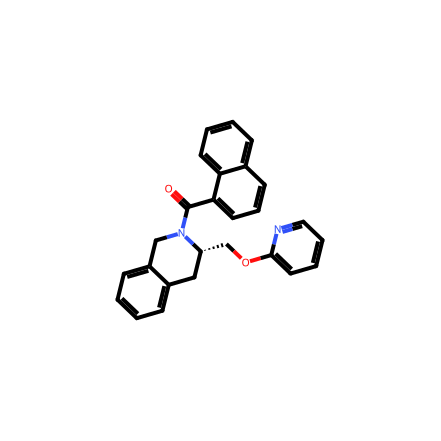 O=C(c1cccc2ccccc12)N1Cc2ccccc2C[C@H]1COc1ccccn1